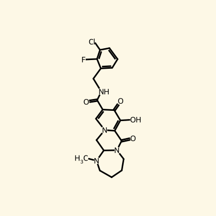 CN1CCCCN2C(=O)c3c(O)c(=O)c(C(=O)NCc4cccc(Cl)c4F)cn3CC12